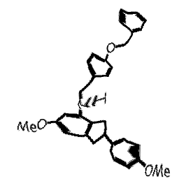 COc1ccc(C2Cc3cc(OC)cc(NCc4ccc(OCc5ccccc5)cc4)c3C2)cc1